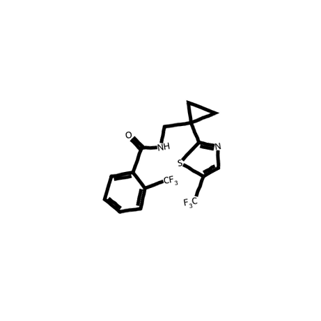 O=C(NCC1(c2ncc(C(F)(F)F)s2)CC1)c1ccccc1C(F)(F)F